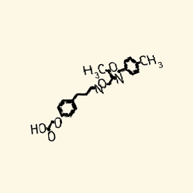 Cc1ccc(-c2nc(CON=CCCc3ccc(OCC(=O)O)cc3)c(C)o2)cc1